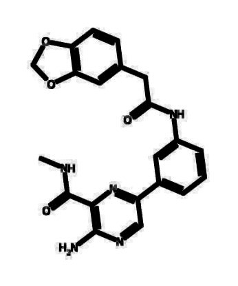 CNC(=O)c1nc(-c2cccc(NC(=O)Cc3ccc4c(c3)OCO4)c2)cnc1N